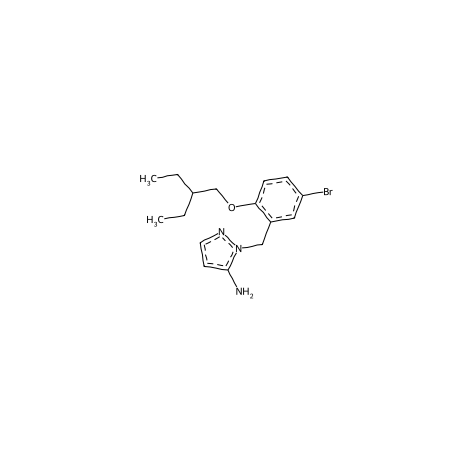 CCC(CC)COc1ccc(Br)cc1Cn1nccc1N